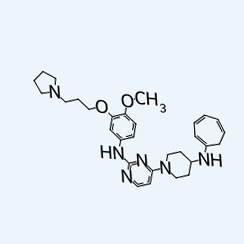 COc1ccc(Nc2nccc(N3CCC(NC4=CC=CC=CC4)CC3)n2)cc1OCCCN1CCCC1